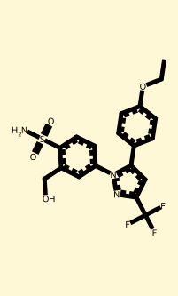 CCOc1ccc(-c2cc(C(F)(F)F)nn2-c2ccc(S(N)(=O)=O)c(CO)c2)cc1